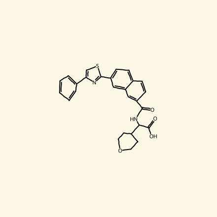 O=C(NC(C(=O)O)C1CCOCC1)c1ccc2ccc(-c3nc(-c4ccccc4)cs3)cc2c1